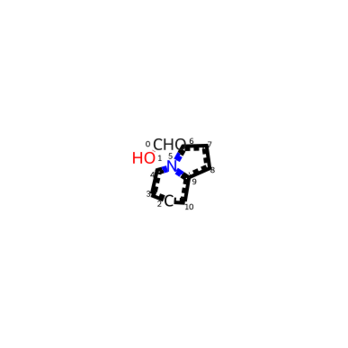 O=CO.c1ccn2cccc2c1